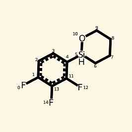 Fc1ccc([SiH]2CCCCO2)c(F)c1F